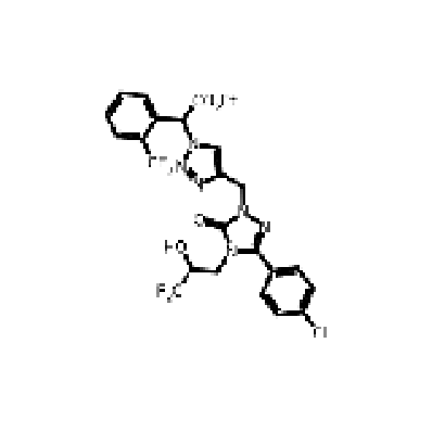 CCOC(=O)C(c1ccccc1C(F)(F)F)n1cc(Cn2nc(-c3ccc(Cl)cc3)n(C[C@H](O)C(F)(F)F)c2=O)nn1